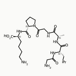 CC(C)C[C@H](NC(=O)CN)C(=O)N[C@@H](C)C(=O)NCC(=O)N1CCC[C@H]1C(=O)N[C@@H](CCCCN)C(=O)O